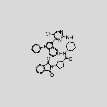 O=C(N[C@H]1CCC[C@@H](Nc2ncc(Cl)c(-c3cn(-c4ccccc4)c4ccccc34)n2)C1)[C@H]1CC[C@@H](N2C(=O)c3ccccc3C2=O)C1